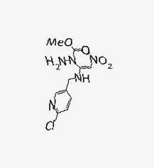 COC(=O)N(N)C(=C[N+](=O)[O-])NCc1ccc(Cl)nc1